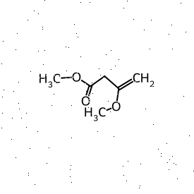 C=C(CC(=O)OC)OC